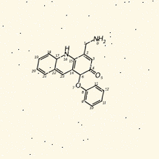 NCC1=CC(=O)C(Oc2ccccc2)C2=C1NC1C=CC=CC1=C2